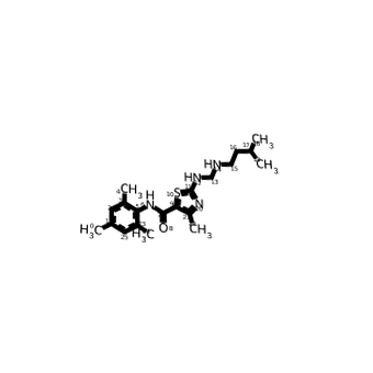 Cc1cc(C)c(NC(=O)c2sc(NCNCCC(C)C)nc2C)c(C)c1